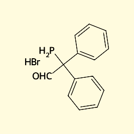 Br.O=CC(P)(c1ccccc1)c1ccccc1